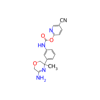 CC1(c2cccc(NC(=O)Oc3ccc(C#N)cn3)c2)COCC(N)=N1